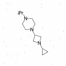 CC(C)N1CCN(C2CN(C3CC3)C2)CC1